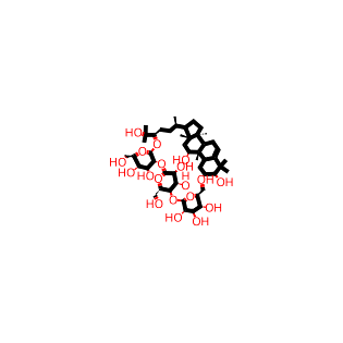 C[C@H](CC[C@@H](O[C@@H]1O[C@H](CO)[C@@H](O)[C@H](O)[C@H]1OC1O[C@@H](CO)[C@H](O[C@H]2O[C@@H](CO)[C@H](O)[C@@H](O)[C@@H]2O)[C@@H](O)[C@@H]1O)C(C)(C)O)C1CC[C@@]2(C)C3CC=C4C(CC[C@H](O)C4(C)C)[C@]3(C)[C@H](O)C[C@]12C